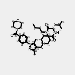 CCCCN1C(=O)[C@H](CC(C)C)NC(=O)C12CCN(Cc1c(C)nn(-c3ccc(C(=O)N4CCOCC4)cc3)c1C)CC2